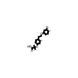 CC(C)(Oc1ccc(CCOc2cccc([O])c2)cc1)C(=O)O